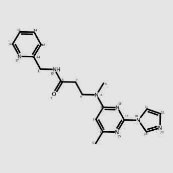 Cc1cc(N(C)CCC(=O)NCc2ccccn2)nc(-n2ccnc2)n1